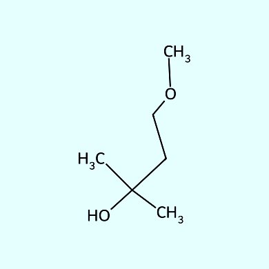 COCCC(C)(C)O